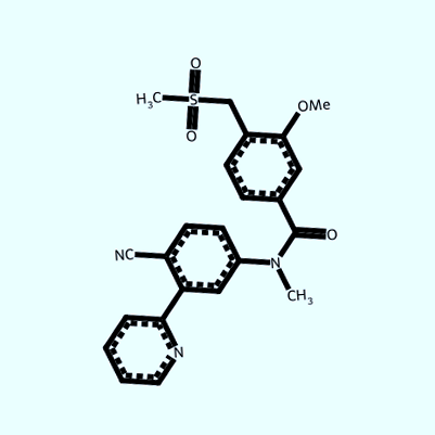 COc1cc(C(=O)N(C)c2ccc(C#N)c(-c3ccccn3)c2)ccc1CS(C)(=O)=O